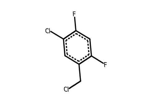 Fc1cc(F)c(CCl)cc1Cl